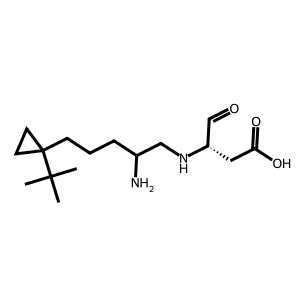 CC(C)(C)C1(CCCC(N)CN[C@H](C=O)CC(=O)O)CC1